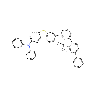 CC1(C)c2cc(-c3ccccc3)ccc2-c2cccc(-c3ccc4c(c3)sc3ccc(N(c5ccccc5)c5ccccc5)cc34)c21